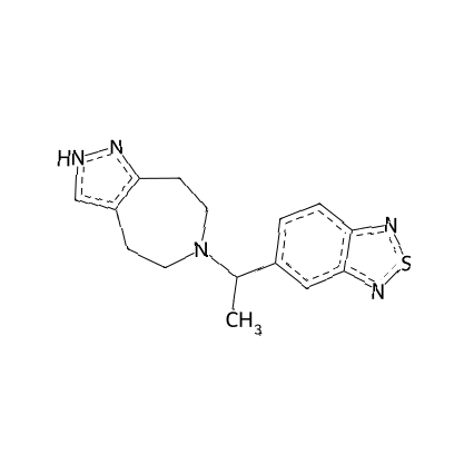 CC(c1ccc2nsnc2c1)N1CCc2c[nH]nc2CC1